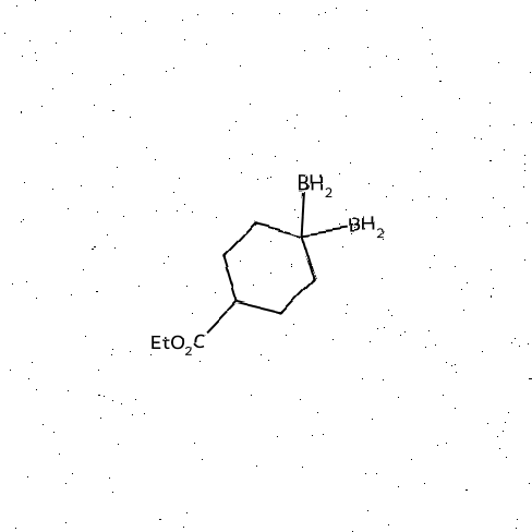 BC1(B)CCC(C(=O)OCC)CC1